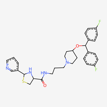 O=C(NCCCN1CCC(OC(c2ccc(F)cc2)c2ccc(F)cc2)CC1)C1CSC(c2cccnc2)N1